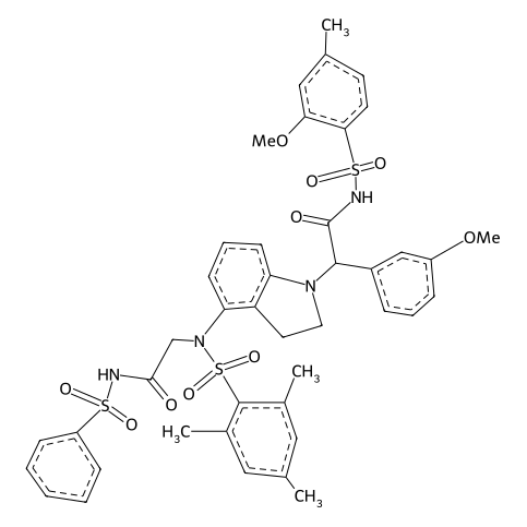 COc1cccc(C(C(=O)NS(=O)(=O)c2ccc(C)cc2OC)N2CCc3c2cccc3N(CC(=O)NS(=O)(=O)c2ccccc2)S(=O)(=O)c2c(C)cc(C)cc2C)c1